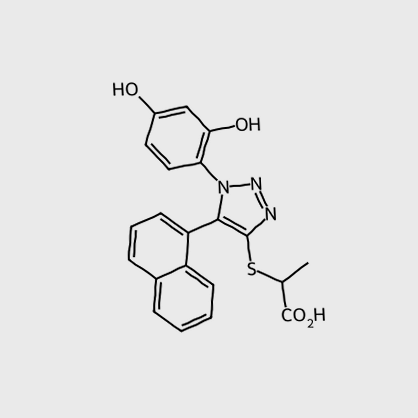 CC(Sc1nnn(-c2ccc(O)cc2O)c1-c1cccc2ccccc12)C(=O)O